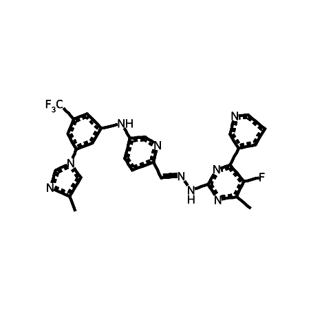 Cc1cn(-c2cc(Nc3ccc(/C=N/Nc4nc(C)c(F)c(-c5cccnc5)n4)nc3)cc(C(F)(F)F)c2)cn1